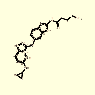 COCCC(=O)Nc1nc2ccc(Sc3nnc4ccc(NC5CC5)nn34)cc2s1